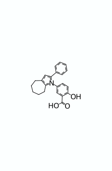 O=C(O)c1cc(-n2c(-c3ccccc3)cc3c2CCCCC3)ccc1O